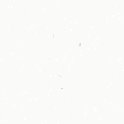 CCCN(CCC)C(O)=S.N.NC(O)=S